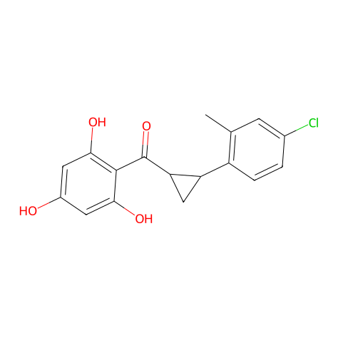 Cc1cc(Cl)ccc1C1CC1C(=O)c1c(O)cc(O)cc1O